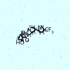 O=C(NCc1cc(-c2ccc(C(F)(F)F)cn2)ccn1)C1[C@@H](O)CCN1S